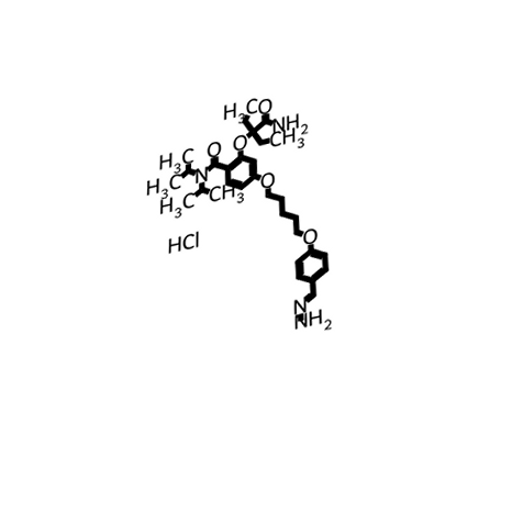 CCC(CC)(Oc1cc(OCCCCCOc2ccc(C=NN)cc2)ccc1C(=O)N(C(C)C)C(C)C)C(N)=O.Cl